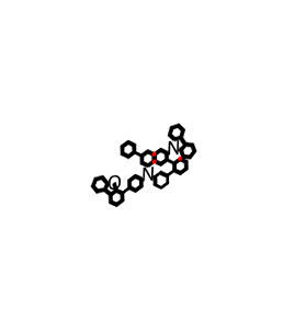 C1=C(c2ccccc2-c2ccccc2-n2c3ccccc3c3ccccc32)CCC=C1N(c1ccc(-c2cccc3c2oc2ccccc23)cc1)c1cccc(-c2ccccc2)c1